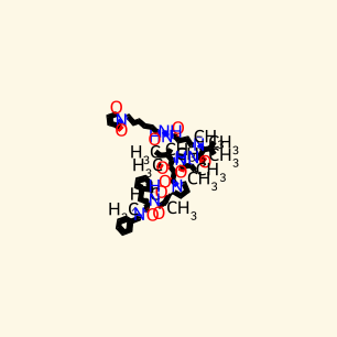 CCC(C)C(C(CC(=O)N1CCC[C@H]1C(OC)C(C)C(=O)NC(Cc1ccccc1)C(=O)N(C)Cc1ccccc1)OC)N(C)C(=O)C(NC(=O)C(C(C)C)N(C)CCCC(=O)NNC(=O)CCCCCN1C(=O)C=CC1=O)C(C)C